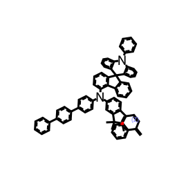 C=C(/C=C\C1=C(C)C(C)(C)c2cc(N(c3ccc(-c4ccc(-c5ccccc5)cc4)cc3)c3cccc4c3-c3ccccc3C43c4ccccc4N(c4ccccc4)c4ccccc43)ccc21)c1ccccc1